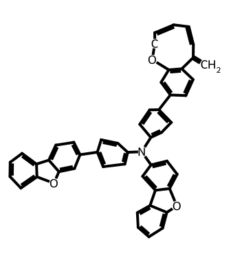 C=C1/C=C\C=C/COc2cc(-c3ccc(N(c4ccc(-c5ccc6c(c5)oc5ccccc56)cc4)c4ccc5oc6ccccc6c5c4)cc3)ccc21